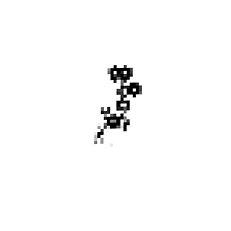 C=CCOc1cc2ncnc(N3CCN(N(C=O)c4ccccc4Oc4cccc5ccccc45)CC3)c2cc1OC